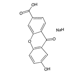 O=C(O)c1ccc2c(=O)c3cc(O)ccc3oc2c1.[NaH]